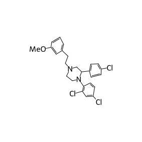 COc1cccc(CCN2CCN(c3ccc(Cl)cc3Cl)C(c3ccc(Cl)cc3)C2)c1